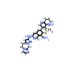 Cc1c(-c2cc3cc(Nc4cc5n(n4)Cc4nccn4CC5)ncc3c(N)c2F)cnc2c1NCCC2